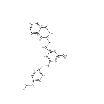 CCCc1ccc(CCc2cc(O)cc(OCC3COc4ccccc4O3)n2)cc1